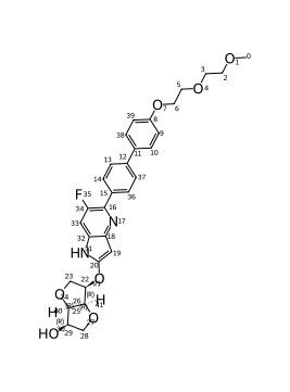 COCCOCCOc1ccc(-c2ccc(-c3nc4cc(O[C@@H]5CO[C@H]6[C@@H]5OC[C@H]6O)[nH]c4cc3F)cc2)cc1